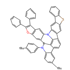 CC(C)(C)c1ccc(N2B3c4cc5oc(-c6ccccc6)c(-c6ccccc6)c5cc4-n4c5cc6c(cc5c5ccc(c3c54)-c3cc(C(C)(C)C)ccc32)sc2ccccc26)cc1